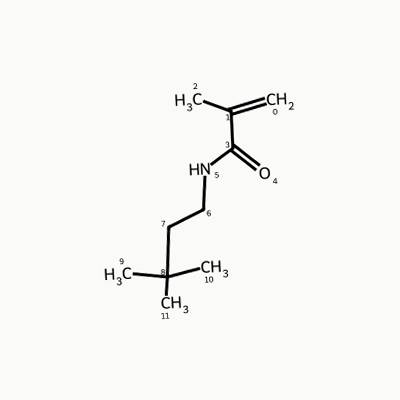 C=C(C)C(=O)NCCC(C)(C)C